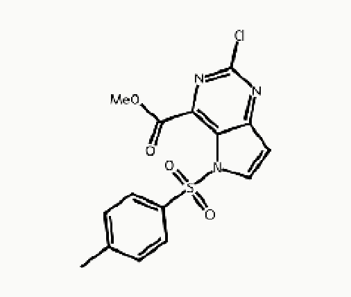 COC(=O)c1nc(Cl)nc2ccn(S(=O)(=O)c3ccc(C)cc3)c12